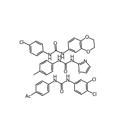 CC(=O)c1ccc(NC(=O)Nc2ccc(Cl)c(Cl)c2)cc1.Cc1ccc(NC(=O)Nc2nccs2)cc1.O=C(Nc1ccc(Cl)cc1)Nc1ccc2c(c1)OCCO2